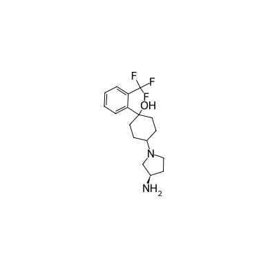 N[C@@H]1CCN(C2CCC(O)(c3ccccc3C(F)(F)F)CC2)C1